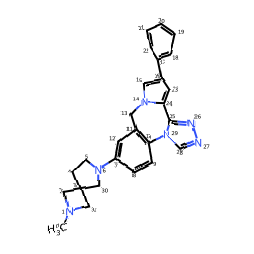 CN1CC2(CCN(c3ccc4c(c3)Cn3cc(-c5ccccc5)cc3-c3nncn3-4)C2)C1